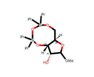 COC1O[C@@H]2CO[Si](C(C)C)(C(C)C)O[Si](C(C)C)(C(C)C)O[C@H]2[C@H]1O